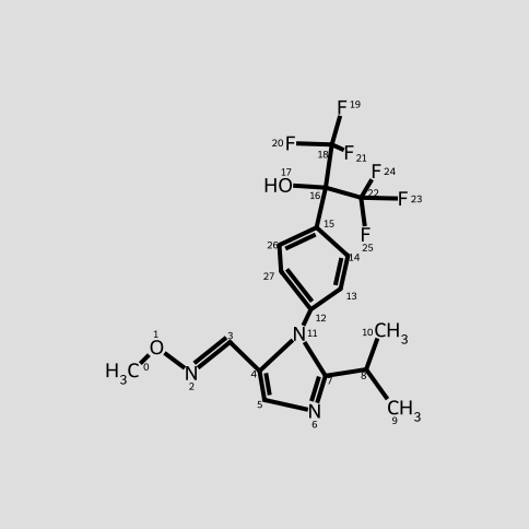 CON=Cc1cnc(C(C)C)n1-c1ccc(C(O)(C(F)(F)F)C(F)(F)F)cc1